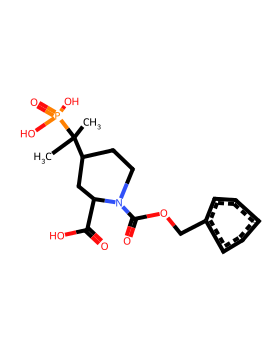 CC(C)(C1CCN(C(=O)OCc2ccccc2)C(C(=O)O)C1)P(=O)(O)O